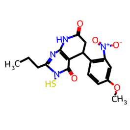 CCCc1nc2c(c(=O)n1S)C(c1ccc(OC)cc1[N+](=O)[O-])CC(=O)N2